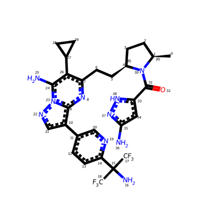 C[C@@H]1CC[C@H](CCc2nc3c(-c4ccc(C(N)(C(F)(F)F)C(F)(F)F)nc4)cnn3c(N)c2C2CC2)N1C(=O)c1cc(N)n[nH]1